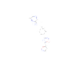 Cc1cc(-c2nc(-c3ccc(C(C)Nc4cnccn4)cc3)no2)on1